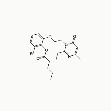 CCCCC(=O)Oc1c(Br)cccc1OCCn1c(CC)nc(C)cc1=O